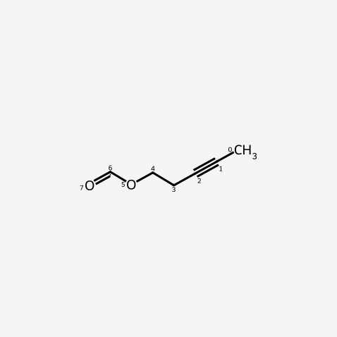 CC#CCCO[C]=O